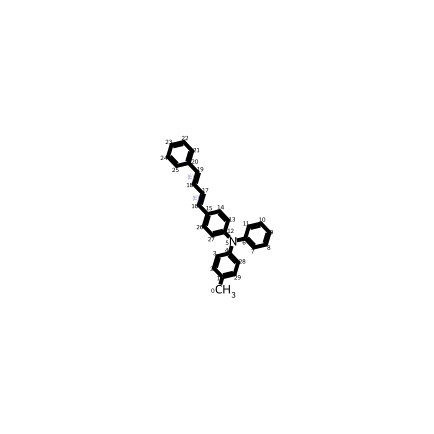 Cc1ccc(N(c2ccccc2)c2ccc(/C=C/C=C/c3ccccc3)cc2)cc1